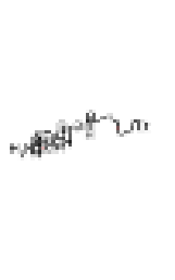 CC/C=C\C/C=C\C/C=C\C/C=C\C/C=C\CCCC(=O)NCCOCCNC(=O)OC[C@H]1OC(n2c(Cl)nc3c(N)ncnc32)[C@H](O)[C@@H]1O